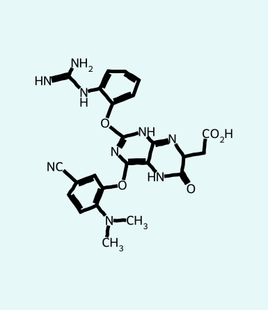 CN(C)c1ccc(C#N)cc1OC1=C2NC(=O)C(CC(=O)O)N=C2NC(Oc2ccccc2NC(=N)N)=N1